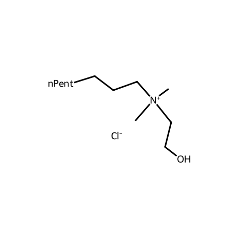 CCCCCCCC[N+](C)(C)CCO.[Cl-]